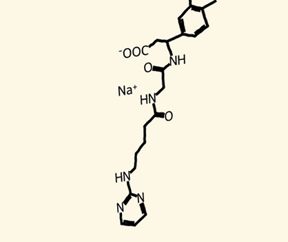 Cc1ccc(C(CC(=O)[O-])NC(=O)CNC(=O)CCCCNc2ncccn2)cc1[N+](=O)[O-].[Na+]